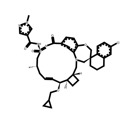 C[C@H]1C/C=C/[C@H](OCC2CC2)[C@@H]2CC[C@H]2CN2C[C@@]3(CCCc4cc(Cl)ccc43)COc3ccc(cc32)C(=O)N=[S@](=O)(NC(=O)c2cnn(C)c2)C1